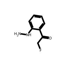 NNc1ccccc1C(=O)CF